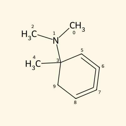 CN(C)C1(C)C=C=C=CC1